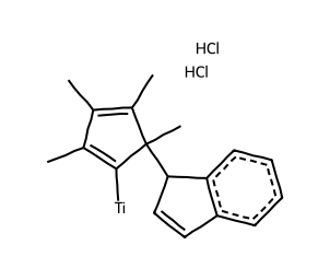 CC1=C(C)C(C)(C2C=Cc3ccccc32)[C]([Ti])=C1C.Cl.Cl